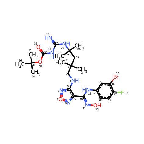 CC(C)(CNc1nonc1/C(=N/O)Nc1ccc(F)c(Br)c1)CC(C)(C)NC(=N)NC(=O)OC(C)(C)C